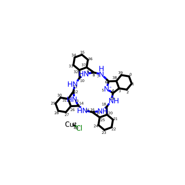 C1CCC2C3[N-]C(NC4NC(NC5NC(NC6NC(N3)C3CCCCC63)C3CCCCC53)C3CCCCC43)C2C1.[Cl][Cu+]